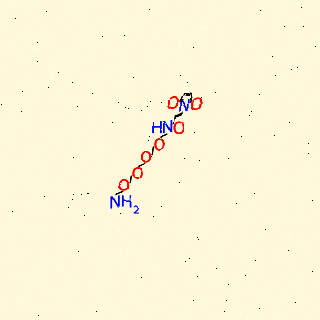 NCCOCCOCCOCCOCCNC(=O)C=CN1C(=O)C=CC1=O